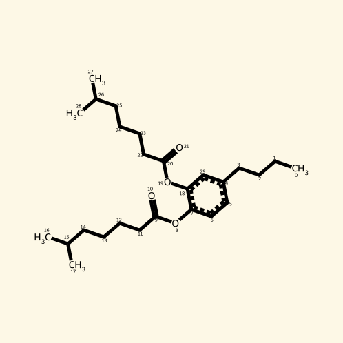 CCCCc1ccc(OC(=O)CCCCC(C)C)c(OC(=O)CCCCC(C)C)c1